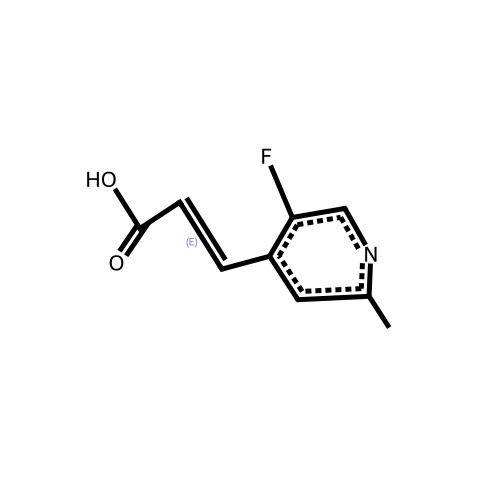 Cc1cc(/C=C/C(=O)O)c(F)cn1